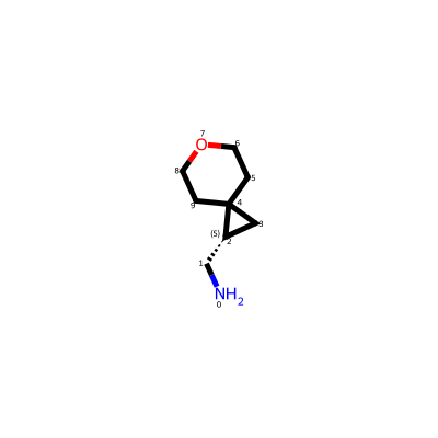 NC[C@H]1CC12CCOCC2